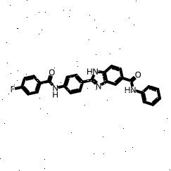 O=C(Nc1ccc(-c2nc3cc(C(=O)Nc4ccccc4)ccc3[nH]2)cc1)c1ccc(F)cc1